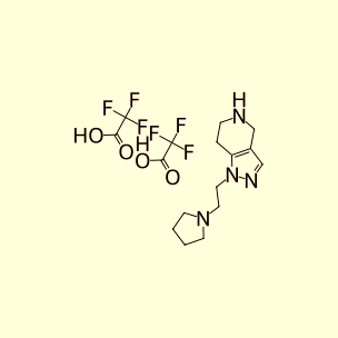 O=C(O)C(F)(F)F.O=C(O)C(F)(F)F.c1nn(CCN2CCCC2)c2c1CNCC2